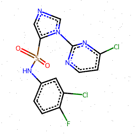 O=S(=O)(Nc1ccc(F)c(Cl)c1)c1cncn1-c1nccc(Cl)n1